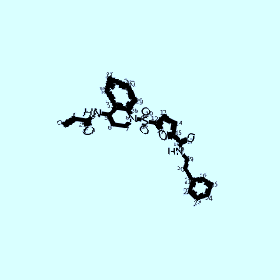 C=CC(=O)NC1CCN(S(=O)(=O)c2ccc(C(=O)NCCc3ccccc3)o2)c2ccccc21